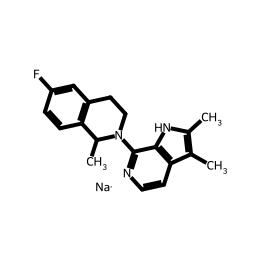 Cc1[nH]c2c(N3CCc4cc(F)ccc4C3C)nccc2c1C.[Na]